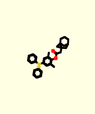 Cc1cc([SH](c2ccccc2)c2ccccc2)cc(C)c1OC(=O)CC12CC3CCCC1(C3)C2